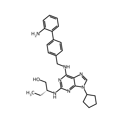 CC[C@H](CO)Nc1nc(NCc2ccc(-c3ccccc3N)cc2)c2ncn(C3CCCC3)c2n1